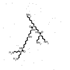 NCCCCCCN(CCCNC(=O)N(CCCN)CCCN)C(=O)NCCCNCCCCCCNC(=O)N(CCCN)CCCN